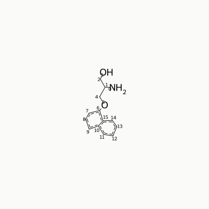 NC(CO)COc1cccc2ccccc12